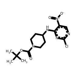 CC(C)(C)OC(=O)N1CCC(Nc2nc(Cl)ncc2[N+](=O)[O-])CC1